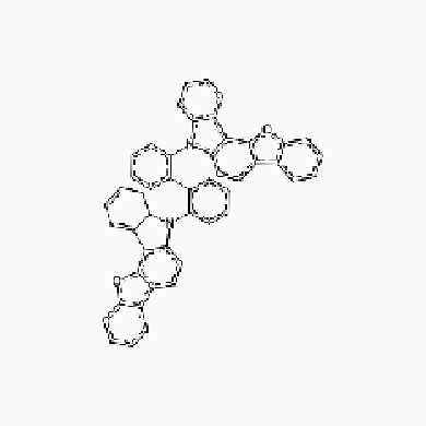 C1=CCC2C(=C1)c1c(ccc3c1oc1ccccc13)N2c1ccccc1-c1ccccc1-n1c2ccccc2c2c3oc4ccccc4c3ccc21